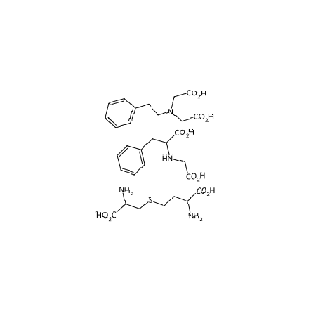 NC(CCSCC(N)C(=O)O)C(=O)O.O=C(O)CN(CCc1ccccc1)CC(=O)O.O=C(O)CNC(Cc1ccccc1)C(=O)O